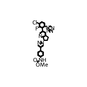 COC(=O)Nc1ccc(-c2cnn(C3CCc4cc(-c5c(-n6cnnn6)ccc(Cl)c5F)cnc43)c2)cc1